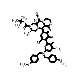 COc1ccc(CN(Cc2ccc(OC)cc2)c2cc(C)c(I)c(-c3c(Cl)cc4c5c6c(nc4c3F)OCCN6C(=C=O)[C@H]3CN(C(=O)OC(C)(C)C)[C@H](C)CN53)n2)cc1